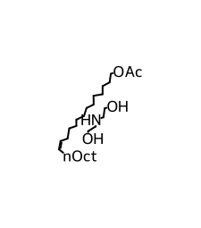 CCCCCCCC/C=C\CCCCCCCCCCCCOC(C)=O.OCCNCCO